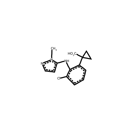 Cn1nccc1Nc1c(Cl)cccc1C1(C(=O)O)CC1